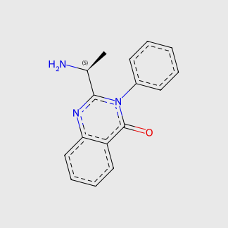 C[C@H](N)c1nc2ccccc2c(=O)n1-c1ccccc1